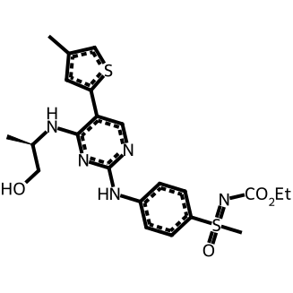 CCOC(=O)N=S(C)(=O)c1ccc(Nc2ncc(-c3cc(C)cs3)c(N[C@H](C)CO)n2)cc1